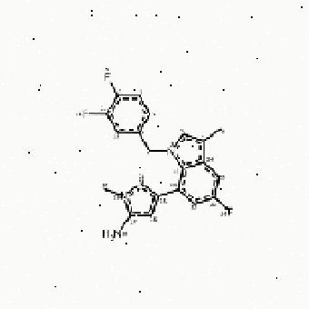 Cc1cn(Cc2ccc(F)c(F)c2)c2c(-c3cc(N)n(C)n3)cc(F)cc12